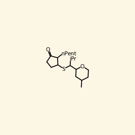 CCCCCC1C(=O)CCC1SC(C(C)C)C1CC(C)CCO1